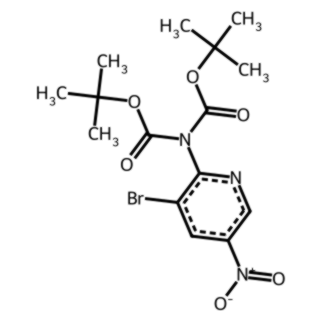 CC(C)(C)OC(=O)N(C(=O)OC(C)(C)C)c1ncc([N+](=O)[O-])cc1Br